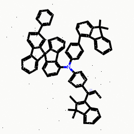 C/C=C(\C1=C(C)C(C)(C)c2ccccc21)c1ccc(N(c2ccc(-c3cccc4c3-c3ccccc3C4(C)C)cc2)c2cccc3c2-c2ccccc2C32c3ccccc3-c3ccc(-c4ccccc4)cc32)cc1